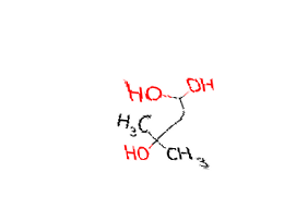 CC(C)(O)CC(O)O